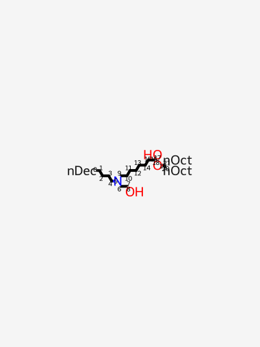 CCCCCCCCCCCCCCN(CCO)CCCCCCCC(O)OC(CCCCCCCC)CCCCCCCC